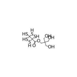 O=C(OCC(CO)(CO)CO)C(S)(S)C(S)(S)S